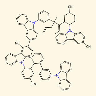 C=CCC(C)(/C(=C\C)C1CC(C#N)CCC1n1c2ccccc2c2cc(C#N)ccc21)c1cccc(-n2c3ccccc3c3cc(-c4ccc5c(c4C#N)c4ccccc4n5-c4ccc(C#N)cc4C4C(c5cccc(-n6c7ccccc7c7ccccc76)c5)=CC=CC4C)ccc32)c1